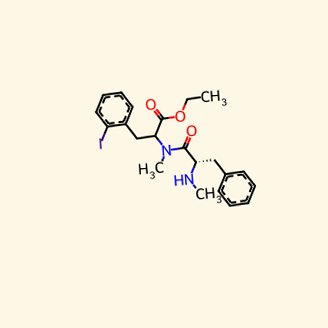 CCOC(=O)C(Cc1ccccc1I)N(C)C(=O)[C@H](Cc1ccccc1)NC